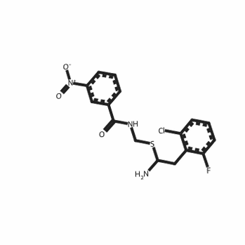 NC(Cc1c(F)cccc1Cl)SCNC(=O)c1cccc([N+](=O)[O-])c1